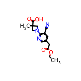 CCOC(=O)Cc1cnc(N2CC(C)(C(=O)O)C2)c(C#N)c1